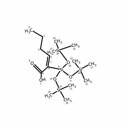 CCC/C=C(\C(=O)O)[Si](O[Si](C)(C)C)(O[Si](C)(C)C)O[Si](C)(C)C